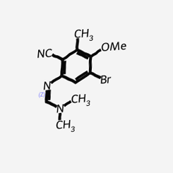 COc1c(Br)cc(/N=C\N(C)C)c(C#N)c1C